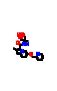 Cc1cc2ccc(OCc3ccccn3)cn2c1C(=O)NC(C)(CO)CO